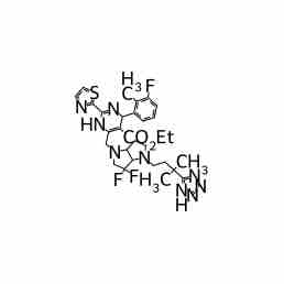 CCOC(=O)C1=C(CN2CC(F)(F)C3C2CCN3CCC(C)(C)c2nnn[nH]2)NC(c2nccs2)=NC1c1cccc(F)c1C